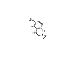 Cc1c(C(C)(C)C)cnc2c1NCC1(CC1)O2